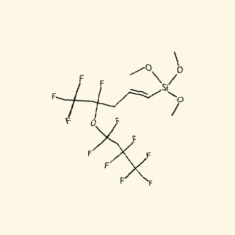 CO[Si](C=CCC(F)(OC(F)(F)C(F)(F)C(F)(F)F)C(F)(F)F)(OC)OC